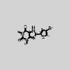 Cn1c(=O)c2[nH]c(-c3cc(Br)cs3)nc2n(C)c1=O